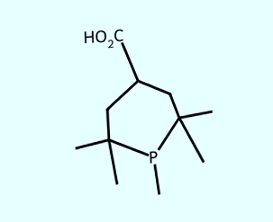 CP1C(C)(C)CC(C(=O)O)CC1(C)C